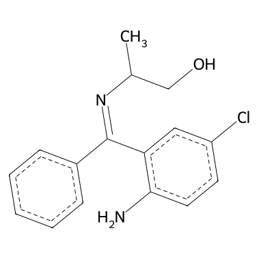 CC(CO)N=C(c1ccccc1)c1cc(Cl)ccc1N